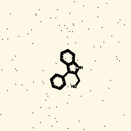 OCc1[nH]c2ccccc2c1-c1ccccc1